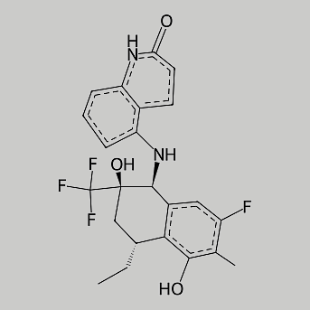 CC[C@@H]1C[C@](O)(C(F)(F)F)[C@@H](Nc2cccc3[nH]c(=O)ccc23)c2cc(F)c(C)c(O)c21